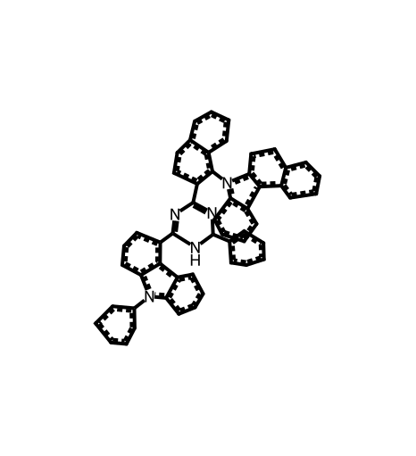 c1ccc(C2N=C(c3ccc4ccccc4c3-n3c4ccccc4c4c5ccccc5ccc43)N=C(c3cccc4c3c3ccccc3n4-c3ccccc3)N2)cc1